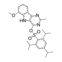 COc1cccc2c1[nH]c1c(OS(=O)(=O)c3c(C(C)C)cc(C(C)C)cc3C(C)C)nc(C)nc12